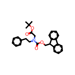 CC(C)(C)OC(=O)CN(CCc1ccccc1)C(=O)OCC1c2ccccc2-c2ccccc21